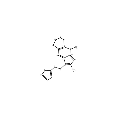 CC1=C(CCC2=CC=CC2)C2=CC3=C(CCCC3)C(Br)C2=C1